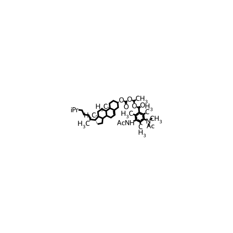 CC(=O)Nc1c(C)c(C(=O)OC(C)OC(=O)O[C@H]2CC[C@@]3(C)C(=CCC4C3CC[C@@]3(C)C4CC[C@@H]3[C@H](C)CCCC(C)C)C2)c(C)c(N(C)C(C)=O)c1C